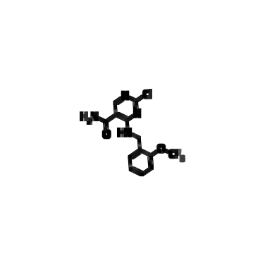 NC(=O)c1cnc(Cl)nc1NCc1ccccc1OC(F)(F)F